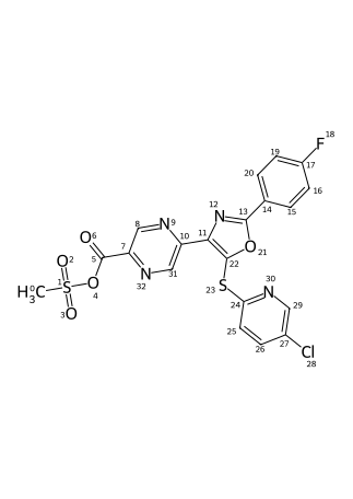 CS(=O)(=O)OC(=O)c1cnc(-c2nc(-c3ccc(F)cc3)oc2Sc2ccc(Cl)cn2)cn1